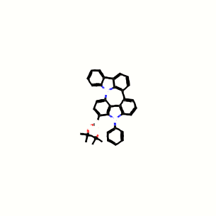 CC1(C)OB(c2ccc3c4c5c(cccc5n(-c5ccccc5)c24)c2cccc4c5ccccc5n3c24)OC1(C)C